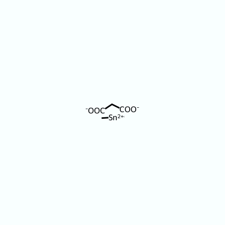 O=C([O-])CC(=O)[O-].[CH3][Sn+2][CH3]